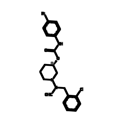 CCc1ccc(NC(=O)O[C@H]2CCCN(N(C=O)Cc3ccccc3Cl)C2)cc1